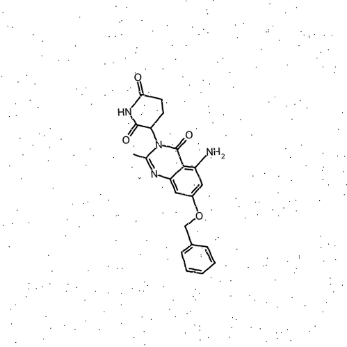 Cc1nc2cc(OCc3ccccc3)cc(N)c2c(=O)n1C1CCC(=O)NC1=O